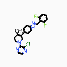 CC1=C(c2ccc(NCc3c(F)cccc3F)cc2)CN(c2nccnc2Cl)CC1